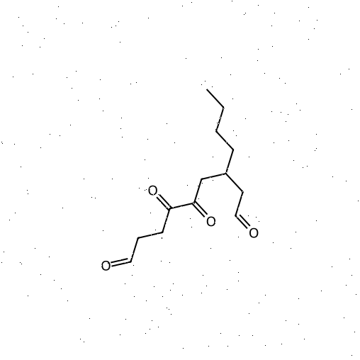 CCCCC(CC=O)CC(=O)C(=O)CCC=O